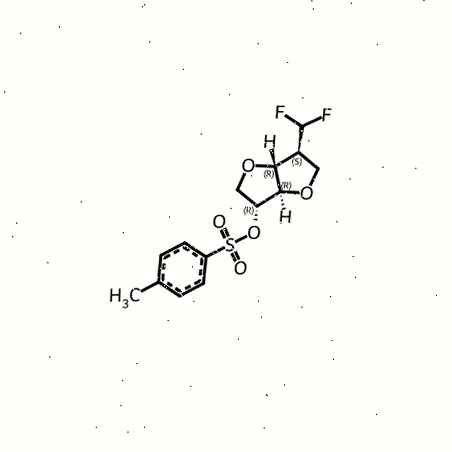 Cc1ccc(S(=O)(=O)O[C@@H]2CO[C@H]3[C@H]2OC[C@@H]3C(F)F)cc1